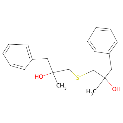 CC(O)(CSCC(C)(O)Cc1ccccc1)Cc1ccccc1